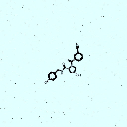 N#Cc1cccc(C(=O)N2C[C@H](O)C[C@H]2C(=O)NCc2ccc(Cl)cc2)c1